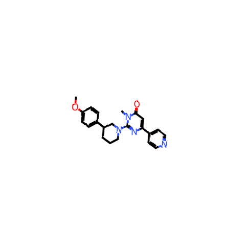 COc1ccc(C2CCCN(c3nc(-c4ccncc4)cc(=O)n3C)C2)cc1